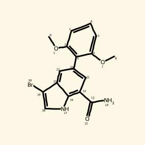 COc1cccc(OC)c1-c1cc(C(N)=O)c2[nH]cc(Br)c2c1